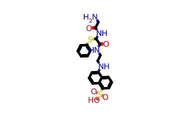 NCC(=O)NC(Sc1ccccc1)C(=O)NCCNc1cccc2c(S(=O)(=O)O)cccc12